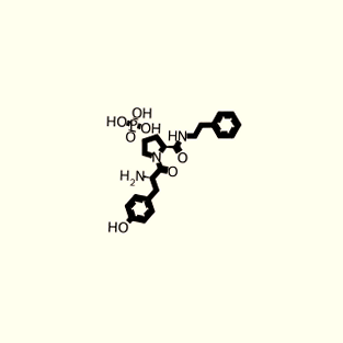 N[C@@H](Cc1ccc(O)cc1)C(=O)N1CCC[C@H]1C(=O)NCCc1ccccc1.O=P(O)(O)O